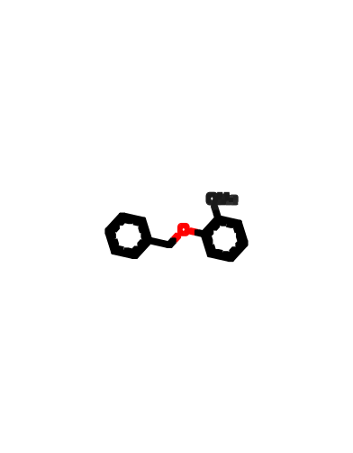 COc1ccccc1OCc1ccccc1